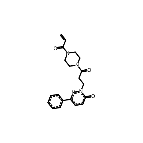 C=CC(=O)N1CCN(C(=O)CCn2nc(-c3ccccc3)ccc2=O)CC1